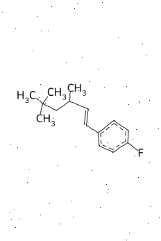 CC(C=Cc1ccc(F)cc1)CC(C)(C)C